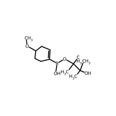 COC1CC=C(B(O)OC(C)(C)C(C)(C)O)CC1